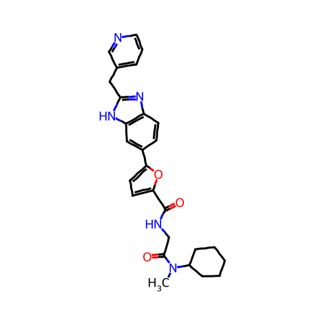 CN(C(=O)CNC(=O)c1ccc(-c2ccc3nc(Cc4cccnc4)[nH]c3c2)o1)C1CCCCC1